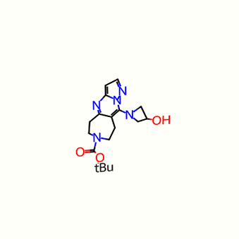 CC(C)(C)OC(=O)N1CCc2nc3ccnn3c(N3CC(O)C3)c2CC1